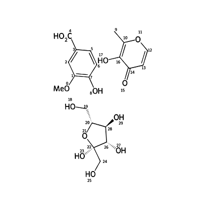 COc1cc(C(=O)O)ccc1O.Cc1occc(=O)c1O.OC[C@H]1O[C@](O)(CO)[C@@H](O)[C@@H]1O